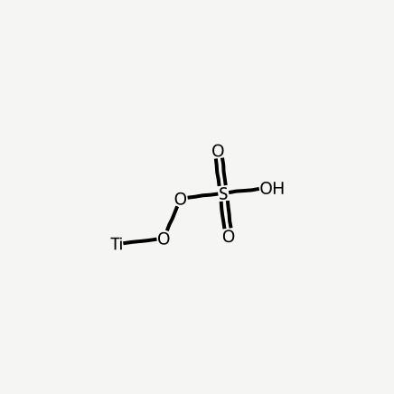 O=S(=O)(O)O[O][Ti]